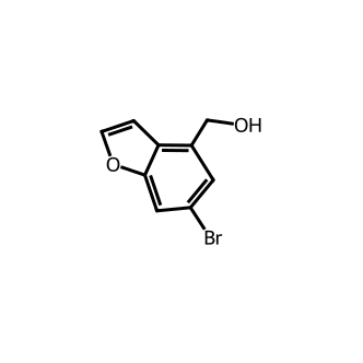 OCc1cc(Br)cc2occc12